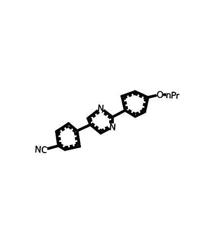 CCCOc1ccc(-c2ncc(-c3ccc(C#N)cc3)cn2)cc1